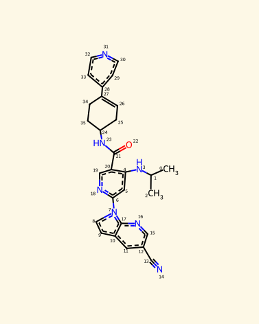 CC(C)Nc1cc(-n2ccc3cc(C#N)cnc32)ncc1C(=O)NC1CC=C(c2ccncc2)CC1